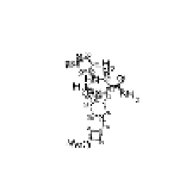 COC1CC(CN2CCC(CN)(N/C=C(/C(N)=O)C(N)Nc3ccnc(F)c3)CC2)C1